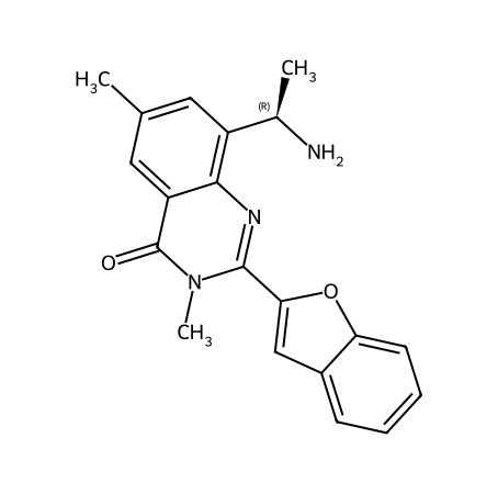 Cc1cc([C@@H](C)N)c2nc(-c3cc4ccccc4o3)n(C)c(=O)c2c1